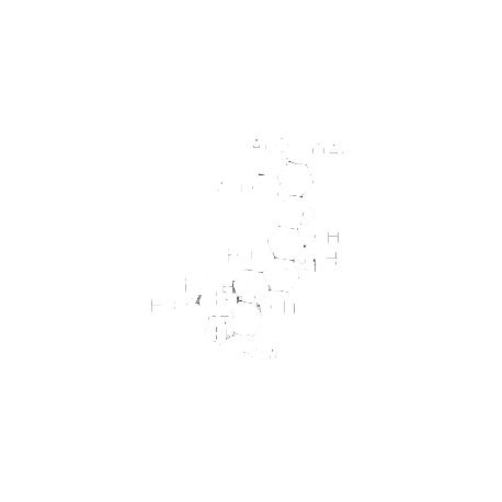 C=C(C)[C@@H]1CC[C@]2(COC(C)=O)CC[C@]3(C)[C@H](CCC4[C@@]5(C)CC[C@@H](O[C@H]6C[C@H](OC(C)=O)[C@@H](OC(C)=O)[C@H](COC(C)=O)O6)C(C)(C)[C@@H]5CC[C@]43C)[C@@H]12